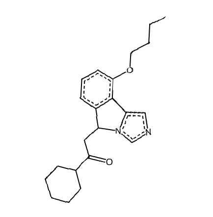 CCCCOc1cccc2c1-c1cncn1C2CC(=O)C1CCCCC1